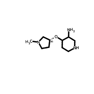 CN1CC[C@@H](OC2CCNCC2N)C1